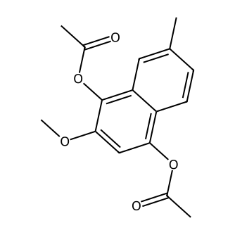 COc1cc(OC(C)=O)c2ccc(C)cc2c1OC(C)=O